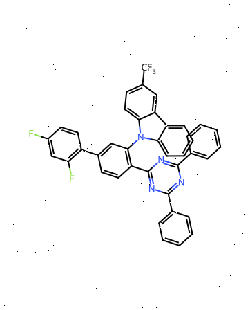 Fc1ccc(-c2ccc(-c3nc(-c4ccccc4)nc(-c4ccccc4)n3)c(-n3c4ccccc4c4cc(C(F)(F)F)ccc43)c2)c(F)c1